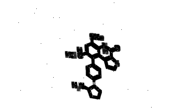 CSc1cc(O)c(-c2ccc([C@@H]3CCC[C@H]3N)cc2)c2c1[nH]c(=O)c1sccc12.Cl